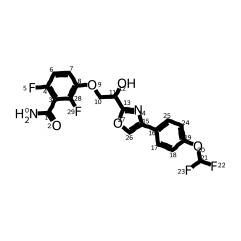 NC(=O)c1c(F)ccc(OCC(O)c2nc(-c3ccc(OC(F)F)cc3)co2)c1F